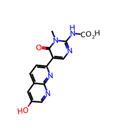 Cn1c(NC(=O)O)ncc(-c2ccc3cc(O)cnc3n2)c1=O